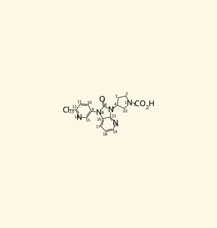 O=C(O)N1CCC(n2c(=O)n(-c3ccc(Cl)nc3)c3cccnc32)C1